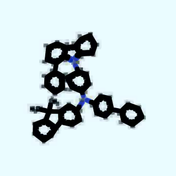 CC1(C)c2ccccc2-c2ccc(N(c3ccc(-c4ccccc4)cc3)c3ccc(-n4c5ccccc5c5cccc(-c6ccccc6)c54)cc3)cc21